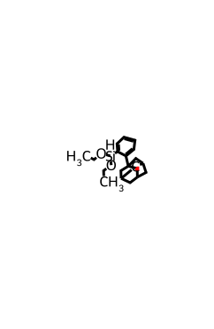 CCO[SiH](OCC)c1ccccc1C12CC3CC(CC(C3)C1)C2